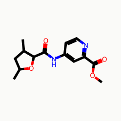 COC(=O)c1cc(NC(=O)C2OC(C)CC2C)ccn1